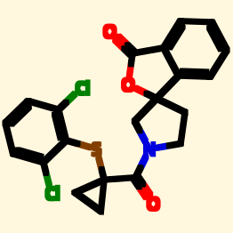 O=C1OC2(CCN(C(=O)C3(Sc4c(Cl)cccc4Cl)CC3)C2)c2ccccc21